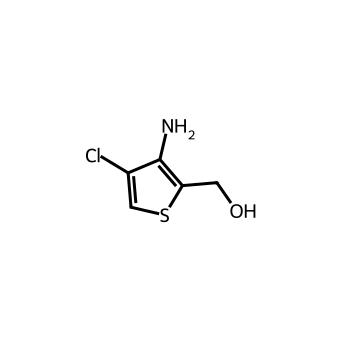 Nc1c(Cl)csc1CO